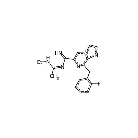 CCN/C(C)=N\C(=N)c1cn2ccnc2c(Cc2ccccc2F)n1